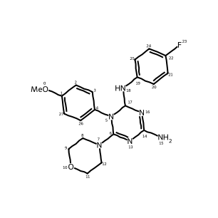 COc1ccc(N2C(N3CCOCC3)=NC(N)=NC2Nc2ccc(F)cc2)cc1